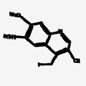 COc1cc2ncc(C#N)c(CI)c2cc1NC(C)=O